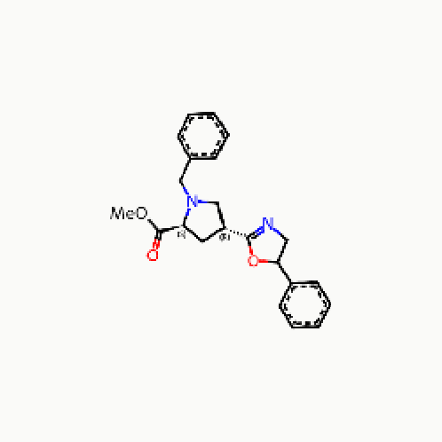 COC(=O)[C@@H]1C[C@@H](C2=NCC(c3ccccc3)O2)CN1Cc1ccccc1